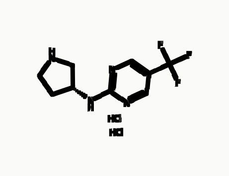 Cl.Cl.FC(F)(F)c1cnc(N[C@@H]2CCNC2)nc1